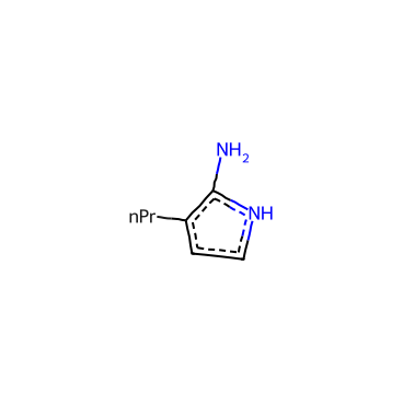 CCCc1cc[nH]c1N